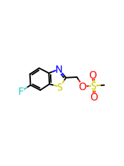 CS(=O)(=O)OCc1nc2ccc(F)cc2s1